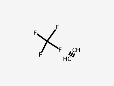 C#C.FC(F)(F)F